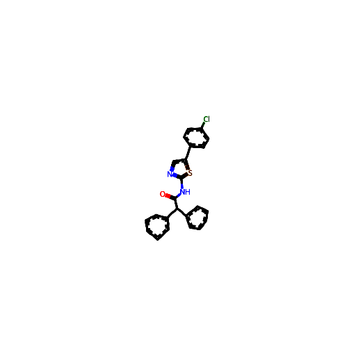 O=C(Nc1ncc(-c2ccc(Cl)cc2)s1)C(c1ccccc1)c1ccccc1